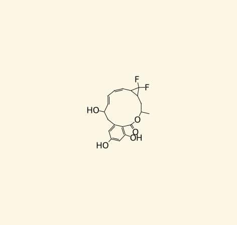 CC1CC2C(/C=C\C=C\C(O)Cc3cc(O)cc(O)c3C(=O)O1)C2(F)F